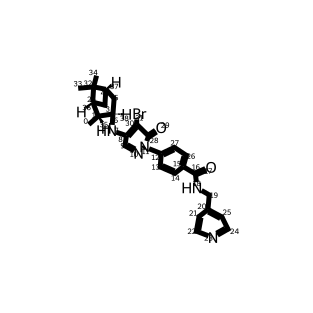 C[C@@H]1[C@H]2C[C@@H](C[C@H]1Nc1cnn(-c3ccc(C(=O)NCc4ccncc4)cc3)c(=O)c1Br)C2(C)C